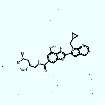 CC[C@H](O)C[C@H](CNC(=O)c1cc(OC)c2[nH]c(-c3cc4cccnc4n3CC3CC3)nc2c1)NC